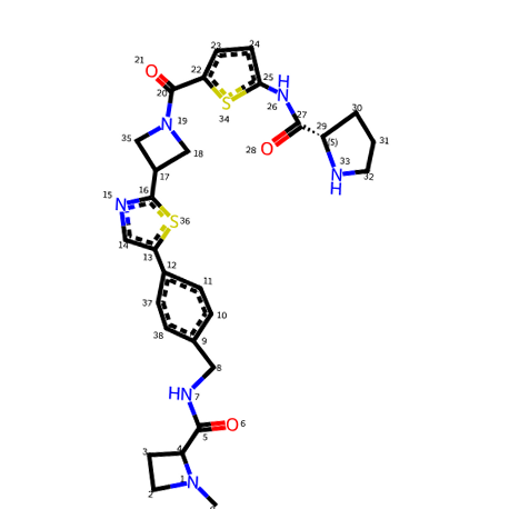 CN1CCC1C(=O)NCc1ccc(-c2cnc(C3CN(C(=O)c4ccc(NC(=O)[C@@H]5CCCN5)s4)C3)s2)cc1